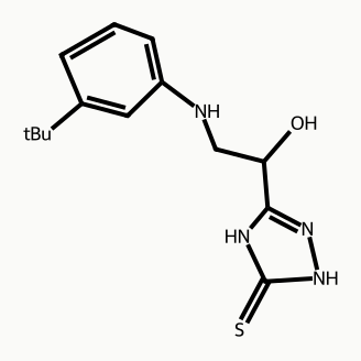 CC(C)(C)c1cccc(NCC(O)c2n[nH]c(=S)[nH]2)c1